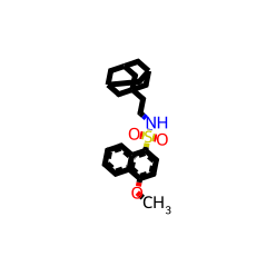 COc1ccc(S(=O)(=O)NCCC23CC4CC(CC(C4)C2)C3)c2ccccc12